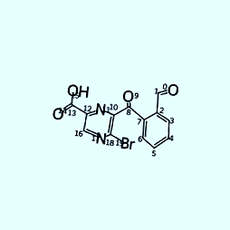 O=Cc1ccccc1C(=O)c1nc(C(=O)O)cnc1Br